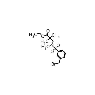 CCOC(=O)C(C)(C)CN(C)S(=O)(=O)c1cccc(CBr)c1